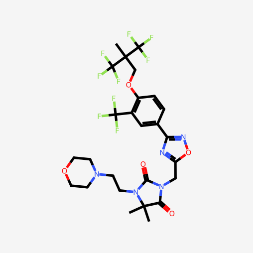 CC1(C)C(=O)N(Cc2nc(-c3ccc(OCC(C)(C(F)(F)F)C(F)(F)F)c(C(F)(F)F)c3)no2)C(=O)N1CCN1CCOCC1